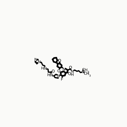 CN(C)CCCCNC(=O)c1cn2c3c(c(N4CC[C@@H](NC(=O)CCNCCCn5ccnc5)C4)c(F)cc3c1=O)Oc1cc3c(cc1-2)oc1ccccc13